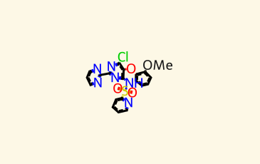 COc1ccccc1Oc1c(Cl)nc(-c2ncccn2)nc1NS(=O)(=O)c1ccccn1